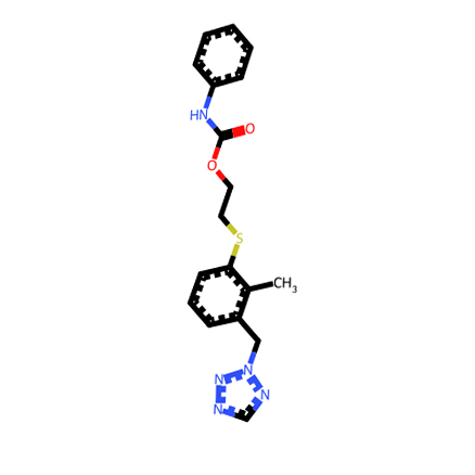 Cc1c(Cn2ncnn2)cccc1SCCOC(=O)Nc1ccccc1